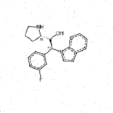 OC([C@@H]1CCCN1)[C@H](c1cccc(F)c1)n1ccc2ccccc21